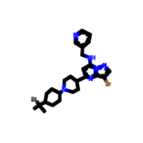 CCC(C)(C)C1CCC(N2CCC(c3cc(NCc4cccnc4)n4ncc(Br)c4n3)CC2)CC1